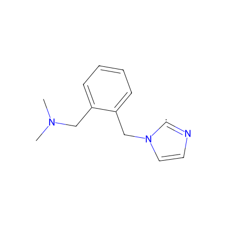 CN(C)Cc1ccccc1Cn1[c]ncc1